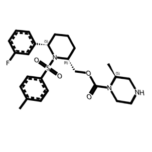 Cc1ccc(S(=O)(=O)N2[C@@H](COC(=O)N3CCNC[C@@H]3C)CCC[C@H]2c2cccc(F)c2)cc1